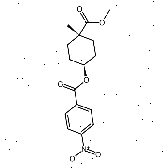 COC(=O)[C@]1(C)CC[C@@H](OC(=O)c2ccc([N+](=O)[O-])cc2)CC1